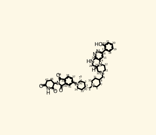 C[C@@H]1C[C@H](CN2CCC(CN3CCN4c5cc(-c6ccccc6O)nnc5NC[C@H]4C3)CC2)CCN1c1ccc2c(c1)C(=O)N(C1CCC(=O)NC1=O)C2=O